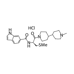 CSC[C@@H](NC(=O)c1ccc2cc[nH]c2c1)C(=O)N1CCC(C2CCN(C)CC2)CC1.Cl